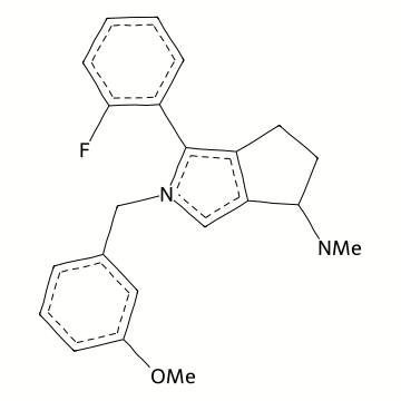 CNC1CCc2c1cn(Cc1cccc(OC)c1)c2-c1ccccc1F